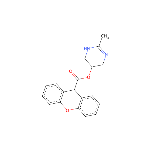 CC1=NCC(OC(=O)C2c3ccccc3Oc3ccccc32)CN1